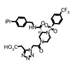 CC(C)c1ccc(CNC(=O)[C@H]2CN(C(=O)Cn3nnnc3CC(=O)O)CCN2S(=O)(=O)c2ccc(C(F)(F)F)cc2)cc1